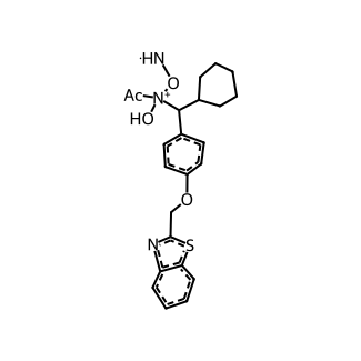 CC(=O)[N+](O)(O[NH])C(c1ccc(OCc2nc3ccccc3s2)cc1)C1CCCCC1